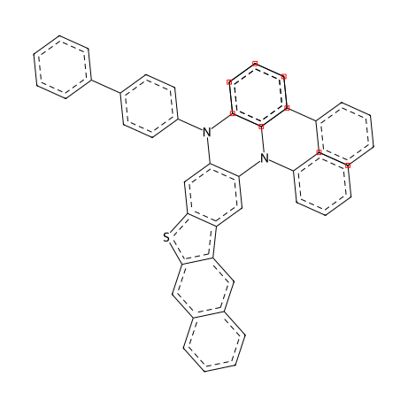 c1ccc(-c2ccc(N(c3ccccc3)c3cc4sc5cc6ccccc6cc5c4cc3N(c3ccccc3)c3ccccc3-c3ccccc3)cc2)cc1